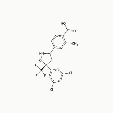 Cc1cc(C2C[C@@](c3cc(Cl)cc(Cl)c3)(C(F)(F)F)ON2)ccc1C(=O)O